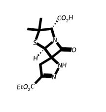 CCOC(=O)C1=NNC2(C1)C(=O)N1[C@@H](C(=O)O)C(C)(C)S[C@@H]12